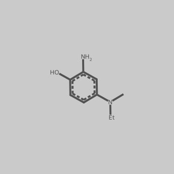 CCN(C)c1ccc(O)c(N)c1